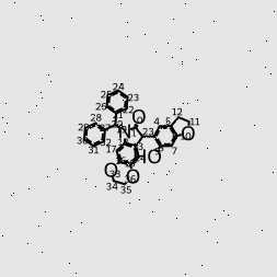 O=C1C(c2cc3c(cc2O)OCC3)c2cc3c(cc2N1C(c1ccccc1)c1ccccc1)OCCO3